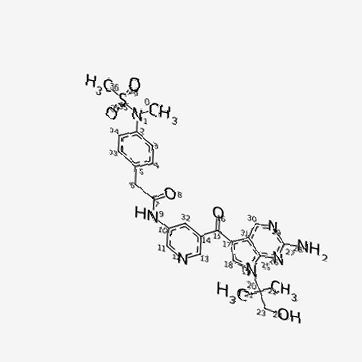 CN(c1ccc(CC(=O)Nc2cncc(C(=O)c3cn(C(C)(C)CO)c4nc(N)ncc34)c2)cc1)S(C)(=O)=O